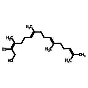 CC/C(CO)=C(\C)CC/C=C(\C)CC/C=C(\C)CCC=C(C)C